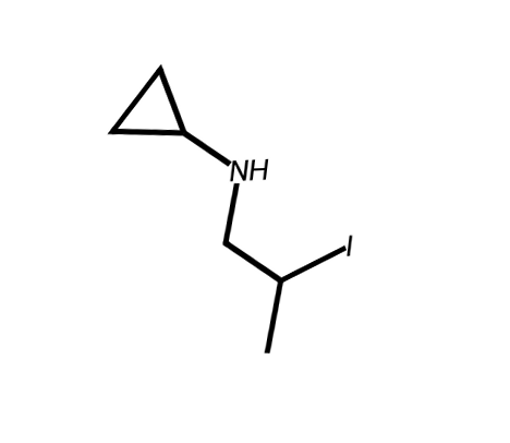 CC(I)CNC1CC1